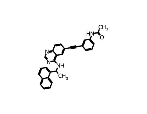 CC(=O)Nc1cccc(C#Cc2ccc3ncnc(NC(C)c4cccc5ccccc45)c3c2)c1